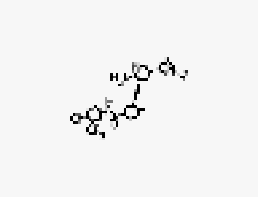 Cc1ccc(C(=O)Nc2ccc(Cl)c(C(F)(F)F)c2)cc1C#Cc1cc(-c2cnn(C3CC3)c2)cnc1N